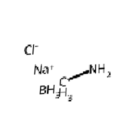 B.CN.[Cl-].[Na+]